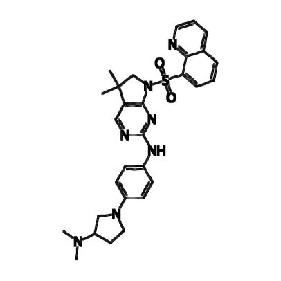 CN(C)C1CCN(c2ccc(Nc3ncc4c(n3)N(S(=O)(=O)c3cccc5cccnc35)CC4(C)C)cc2)C1